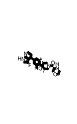 Cc1cc(-c2ccnc3[nH]cc(F)c23)cc(F)c1C1(O)[C@H](C)CN(C(=O)[C@@H]2COCCN2)C[C@@H]1C